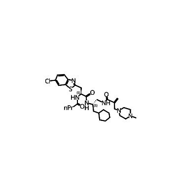 C=C(CN1CCN(C)CC1)C(=O)NC[C@H](CC1CCCCC1)NC(=O)[C@H](Cc1nc2ccc(Cl)cc2s1)NC(=O)CCC